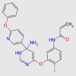 C=CC(=O)Nc1ccc(F)c(OC2=CC(N)(c3ccc(Oc4ccccc4)nc3)NC=N2)c1